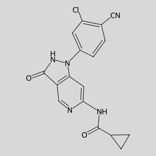 N#Cc1ccc(-n2[nH]c(=O)c3cnc(NC(=O)C4CC4)cc32)cc1Cl